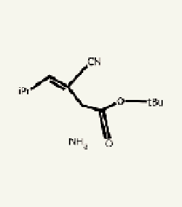 CC(C)C=C(C#N)CC(=O)OC(C)(C)C.N